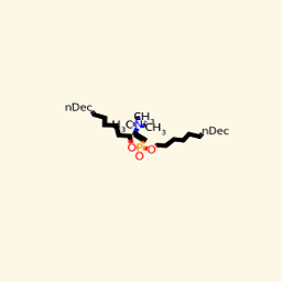 CCCCCCCCCCCCCCCCOP(=O)(C=C[N+](C)(C)C)OCCCCCCCCCCCCCCCC